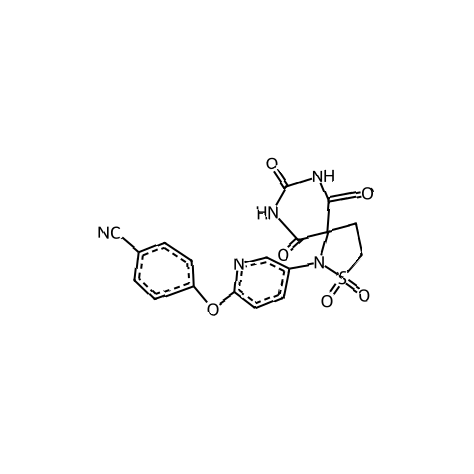 N#Cc1ccc(Oc2ccc(N3C4(CCS3(=O)=O)C(=O)NC(=O)NC4=O)cn2)cc1